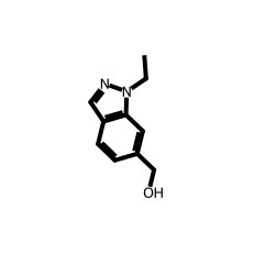 CCn1ncc2ccc(CO)cc21